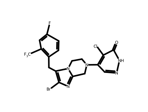 O=c1[nH]ncc(N2CCn3c(nc(Br)c3Cc3ccc(F)cc3C(F)(F)F)C2)c1Cl